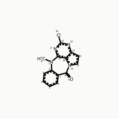 CN1c2ccccc2C(=O)n2ccc3nc(Cl)nc1c32